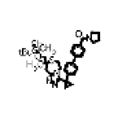 CC1(CO[Si](C)(C)C(C)(C)C)Cc2nnc(C3(c4ccc(-c5ccc(C(=O)N6CCCC6)cc5)cc4)CC3)n2CCS1